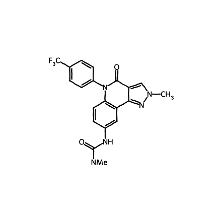 CNC(=O)Nc1ccc2c(c1)c1nn(C)cc1c(=O)n2-c1ccc(C(F)(F)F)cc1